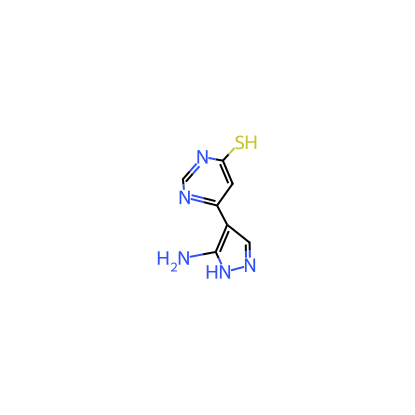 Nc1[nH]ncc1-c1cc(S)ncn1